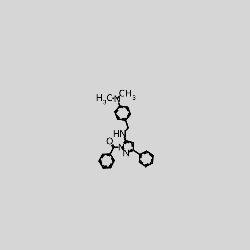 CN(C)c1ccc(CNc2cc(-c3ccccc3)nn2C(=O)c2ccccc2)cc1